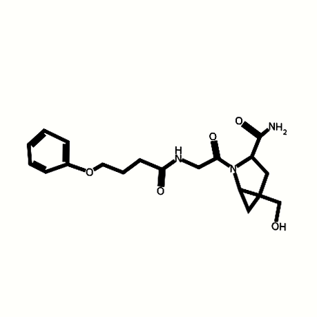 NC(=O)C1CC2(CO)CC2N1C(=O)CNC(=O)CCCOc1ccccc1